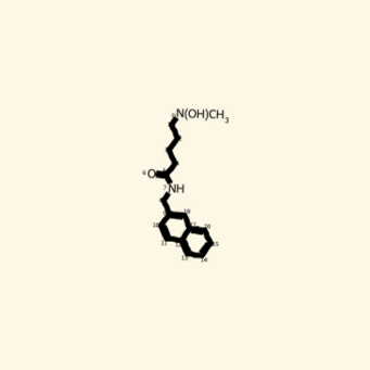 CN(O)CCCCC(=O)NCc1ccc2ccccc2c1